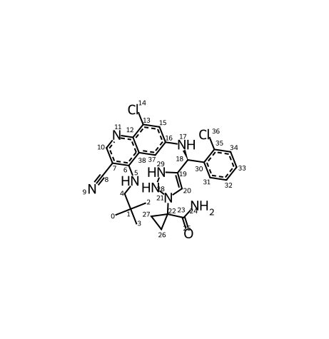 CC(C)(C)CNc1c(C#N)cnc2c(Cl)cc(N[C@H](C3=CN(C4(C(N)=O)CC4)NN3)c3ccccc3Cl)cc12